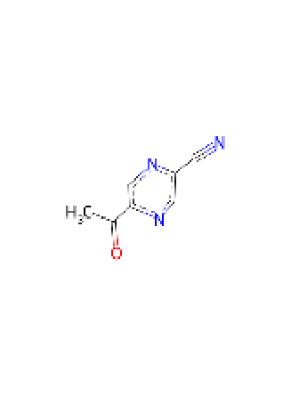 CC(=O)c1cnc(C#N)cn1